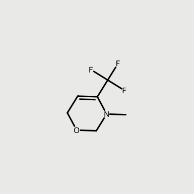 CN1COCC=C1C(F)(F)F